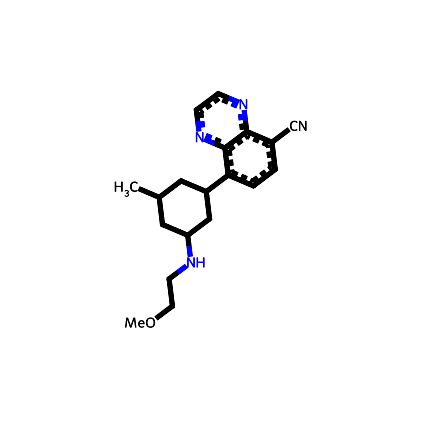 COCCNC1CC(C)CC(c2ccc(C#N)c3nccnc23)C1